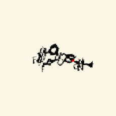 O=C(C1CC(C(F)F)C1)N(CC12CCC(c3nc(C4CC4)no3)(CC1)CC2)c1cccc(-c2nc(C(F)F)co2)c1